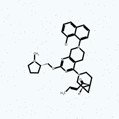 C/C=C/C(=O)[C@]12CCN(c3nc(OC[C@@H]4CCCN4C)nc4c3CCN(c3cccc5cccc(Cl)c35)C4)C[C@H]1C2